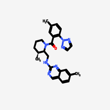 Cc1ccc(-n2nccn2)c(C(=O)N2CCC[C@@H](C)C2CNc2ncc3ccc(C)cc3n2)c1